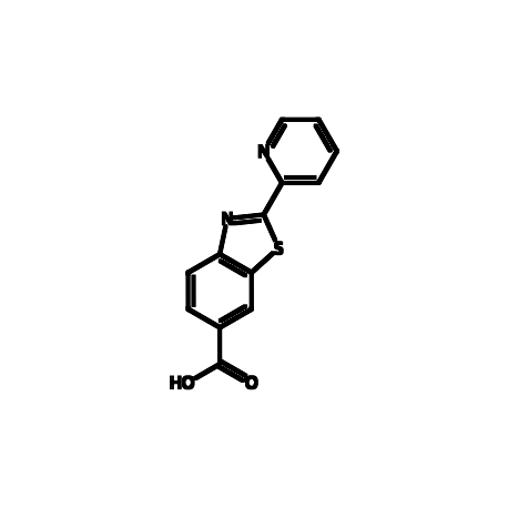 O=C(O)c1ccc2nc(-c3ccccn3)sc2c1